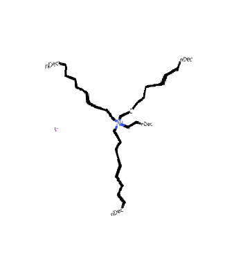 CCCCCCCCCCCCCCCCCC[N+](CCCCCCCCCCCC)(CCCCCCCCCCCCCCCCCC)CCCCCCCCCCCCCCCCCC.[I-]